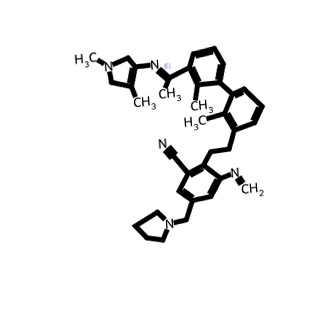 C=Nc1cc(CN2CCCC2)cc(C#N)c1CCc1cccc(-c2cccc(/C(C)=N/C3=C(C)CN(C)C3)c2C)c1C